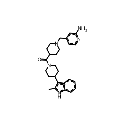 Cc1[nH]c2ccccc2c1C1CCN(C(=O)C2CCN(Cc3ccnc(N)c3)CC2)CC1